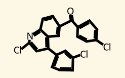 O=C(c1ccc(Cl)cc1)c1ccc2nc(Cl)cc(-c3cccc(Cl)c3)c2c1